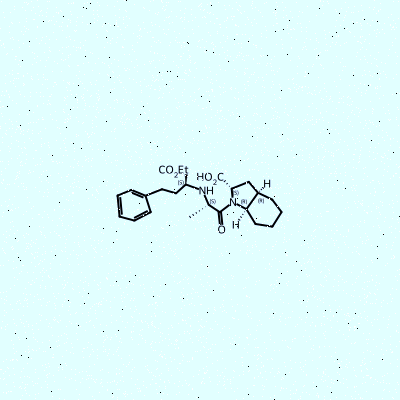 CCOC(=O)[C@H](CCc1ccccc1)N[C@@H](C)C(=O)N1[C@@H]2CCCC[C@@H]2C[C@H]1C(=O)O